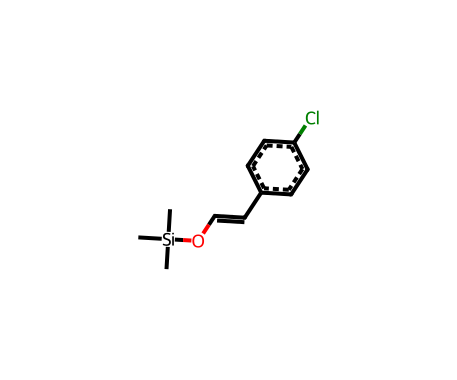 C[Si](C)(C)OC=Cc1ccc(Cl)cc1